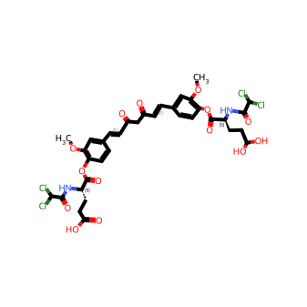 COc1cc(/C=C/C(=O)CC(=O)/C=C/c2ccc(OC(=O)[C@H](CCC(O)O)NC(=O)C(Cl)Cl)c(OC)c2)ccc1OC(=O)[C@H](CCC(=O)O)NC(=O)C(Cl)Cl